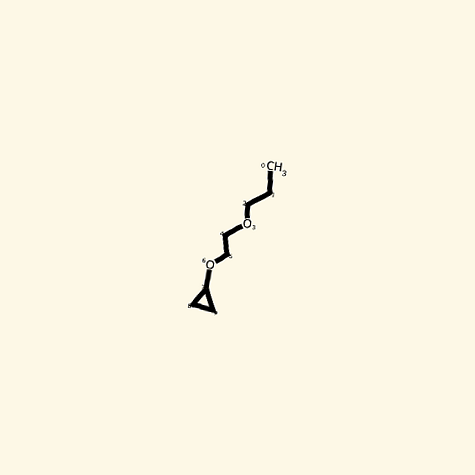 CCCO[CH]COC1CC1